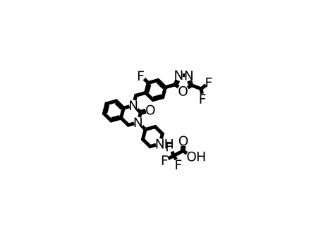 O=C(O)C(F)(F)F.O=C1N(Cc2ccc(-c3nnc(C(F)F)o3)cc2F)c2ccccc2CN1C1CCNCC1